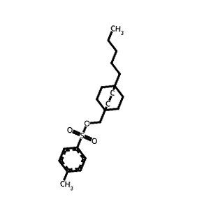 CCCCCC12CCC(COS(=O)(=O)c3ccc(C)cc3)(CC1)CC2